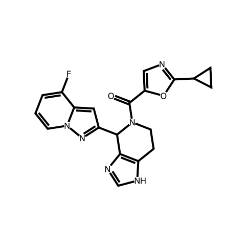 O=C(c1cnc(C2CC2)o1)N1CCc2[nH]cnc2C1c1cc2c(F)cccn2n1